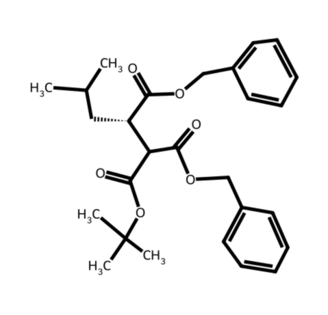 CC(C)C[C@H](C(=O)OCc1ccccc1)C(C(=O)OCc1ccccc1)C(=O)OC(C)(C)C